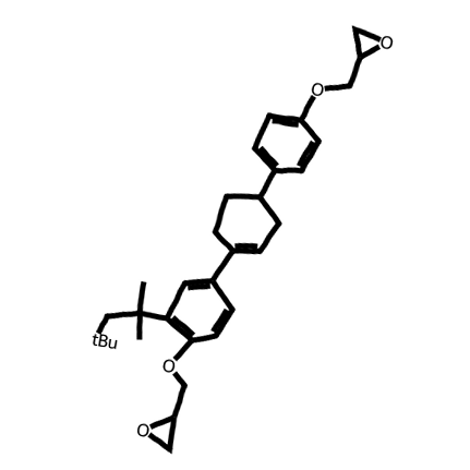 CC(C)(C)CC(C)(C)c1cc(C2=CCC(c3ccc(OCC4CO4)cc3)CC2)ccc1OCC1CO1